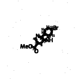 COC(=O)c1cnc2c(c1)[nH]c1cc(Br)ccc12